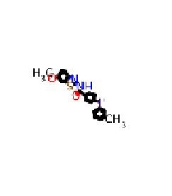 COc1ccc2nc(NC(=O)c3ccc([I+]c4cccc(C)c4)cc3)sc2c1